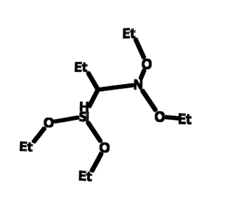 CCON(OCC)C(CC)[SiH](OCC)OCC